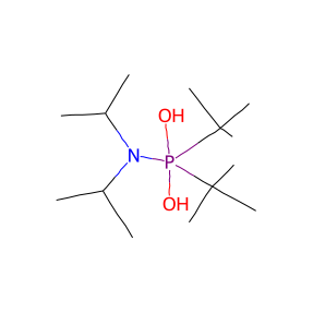 CC(C)N(C(C)C)P(O)(O)(C(C)(C)C)C(C)(C)C